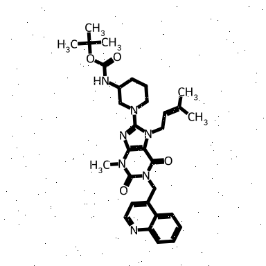 CC(C)=CCn1c(N2CCCC(NC(=O)OC(C)(C)C)C2)nc2c1c(=O)n(Cc1ccnc3ccccc13)c(=O)n2C